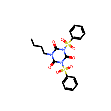 CCCCn1c(=O)n(S(=O)(=O)c2ccccc2)c(=O)n(S(=O)(=O)c2ccccc2)c1=O